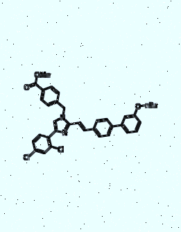 CCCCOc1cccc(-c2ccc(C=Cc3nc(-c4ccc(Cl)cc4Cl)cn3Cc3ccc(C(=O)OC)cc3)cc2)c1